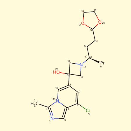 Cc1ncc2c(Cl)cc(C3(O)CN([C@@H](CCC4OCCO4)C(C)C)C3)cn12